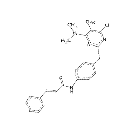 CC(=O)Oc1c(Cl)nc(Cc2ccc(NC(=O)/C=C/c3ccccc3)cc2)nc1N(C)C